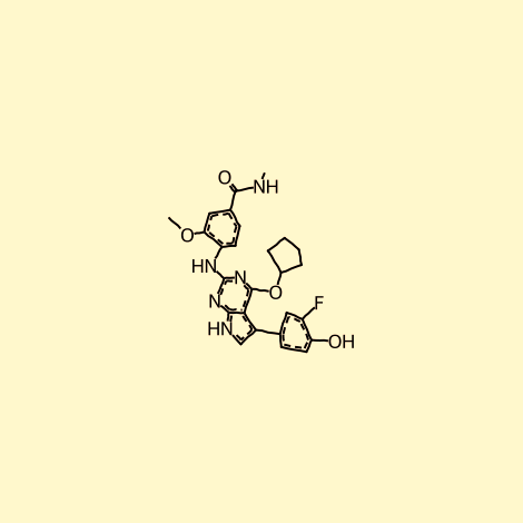 CNC(=O)c1ccc(Nc2nc(OC3CCCC3)c3c(-c4ccc(O)c(F)c4)c[nH]c3n2)c(OC)c1